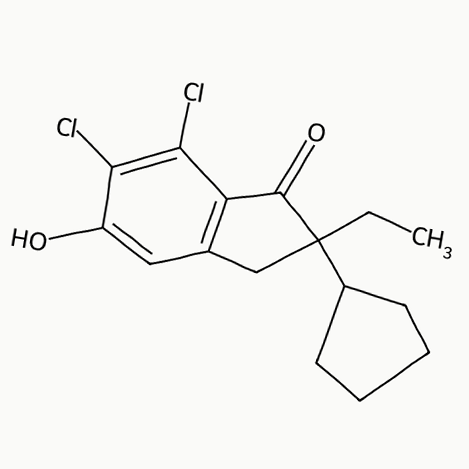 CCC1(C2CCCC2)Cc2cc(O)c(Cl)c(Cl)c2C1=O